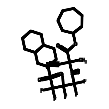 CC(C#N)(C(=O)OC1CCCCCC1)S(=O)(=O)C(F)(F)C(F)(F)C(F)(F)S(=O)(=O)N1CCC2CCCCC2C1